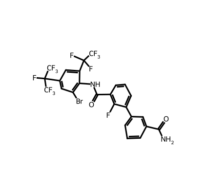 NC(=O)c1cccc(-c2cccc(C(=O)Nc3c(Br)cc(C(F)(C(F)(F)F)C(F)(F)F)cc3C(F)(F)C(F)(F)F)c2F)c1